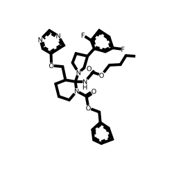 CCCCOC(=O)NC1(N2CCC(c3cc(F)ccc3F)C2)C(COc2cncnc2)CCCN1C(=O)OCc1ccccc1